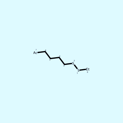 CCSSCCCCC(C)=O